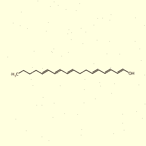 CCCCC=CC=CC=CCCC=CC=CC=CO